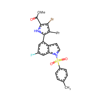 COC(=O)c1[nH]c(-c2cc(F)cc3c2ccn3S(=O)(=O)c2ccc(C)cc2)c(C(C)C)c1Br